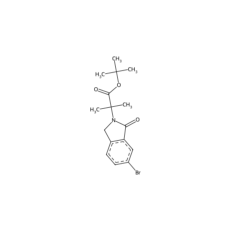 CC(C)(C)OC(=O)C(C)(C)N1Cc2ccc(Br)cc2C1=O